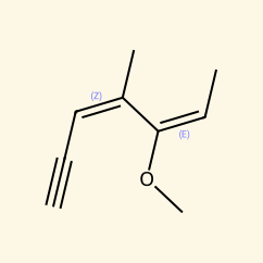 C#C/C=C(C)\C(=C/C)OC